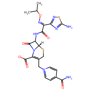 CC(C)ON=C(C(=O)NC1C(=O)N2C(C(=O)[O-])=C(C[n+]3ccc(C(N)=O)cc3)CS[C@@H]12)c1nsc(N)n1